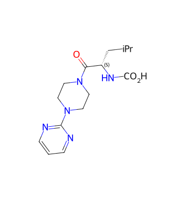 CC(C)C[C@H](NC(=O)O)C(=O)N1CCN(c2ncccn2)CC1